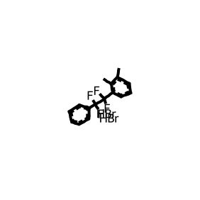 Br.Br.Cc1cccc(C(F)(F)C(F)(F)c2ccccc2)c1C